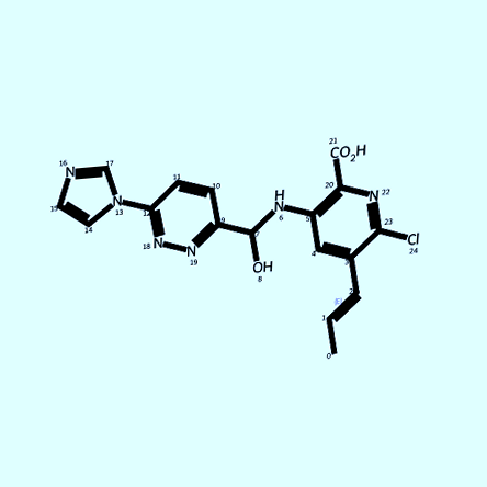 C/C=C/c1cc(NC(O)c2ccc(-n3ccnc3)nn2)c(C(=O)O)nc1Cl